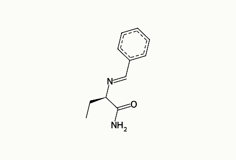 CC[C@@H](/N=C/c1ccccc1)C(N)=O